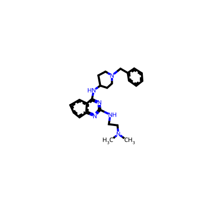 CN(C)CCNc1nc(NC2CCN(Cc3ccccc3)CC2)c2ccccc2n1